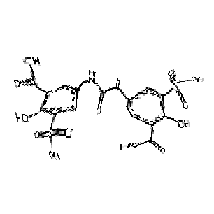 O=C(Nc1cc(C(=O)O)c(O)c(S(=O)(=O)O)c1)Nc1cc(C(=O)O)c(O)c(S(=O)(=O)O)c1